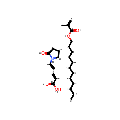 C=C(C)C(=O)OCCCCCCCCCCCC.C=CC(=O)O.C=CN1CCCC1=O